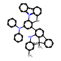 Cc1ccc(Nc2c(-c3cc(N(c4ccccc4)c4ccccc4)cc4c3Bc3cccc5c6ccccc6n-4c35)ccc3c2C(C)(C)c2ccccc2-3)c(C)c1